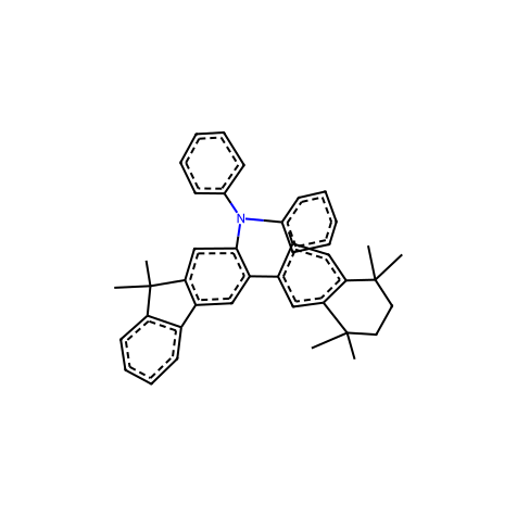 Cc1cc2c(cc1-c1cc3c(cc1N(c1ccccc1)c1ccccc1)C(C)(C)c1ccccc1-3)C(C)(C)CCC2(C)C